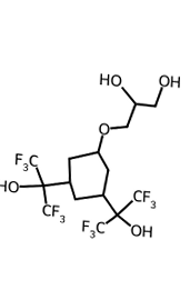 OCC(O)COC1CC(C(O)(C(F)(F)F)C(F)(F)F)CC(C(O)(C(F)(F)F)C(F)(F)F)C1